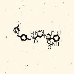 Cc1cnn(Cc2ccc(CNC(=O)c3cc(N4CC[C@]5(C4)OC(=O)Nc4ccc(Cl)c(F)c45)ncn3)cc2)c1